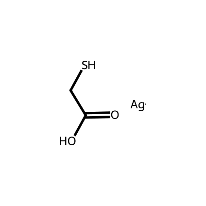 O=C(O)CS.[Ag]